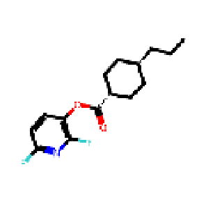 CCC[C@H]1CC[C@H](C(=O)Oc2ccc(F)nc2F)CC1